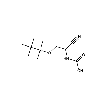 CC(C)(C)[Si](C)(C)OCC(C#N)NC(=O)O